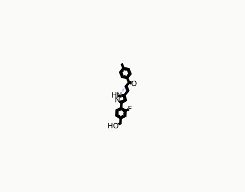 Cc1ccc(C(=O)/C=C/c2cc(-c3ccc(CO)cc3F)n[nH]2)cc1